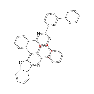 C1=CC2Oc3c(nc4ccccc4c3-c3ccccc3-c3nc(-c4ccccc4)nc(-c4cccc(-c5ccccc5)c4)n3)C2C=C1